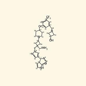 NCC1(Cn2cc(C3N=CN=C4NC=CC43)cn2)CC(N2CCC(Oc3cc(CN4CC(O)C4)cc(C(F)(F)F)n3)CC2)C1